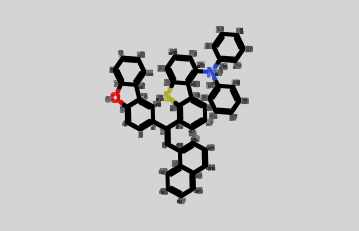 C(=C(\c1ccc2oc3ccccc3c2c1)c1cccc2c1sc1cccc(N(c3ccccc3)c3ccccc3)c12)/c1cccc2ccccc12